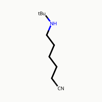 CC(C)(C)NCCCCCC#N